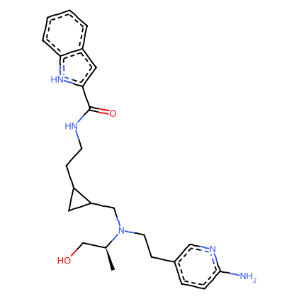 C[C@@H](CO)N(CCc1ccc(N)nc1)CC1CC1CCNC(=O)c1cc2ccccc2[nH]1